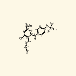 [2H]C([2H])([2H])Oc1ccc(Nc2nc(SC)nc(Cl)c2CN=[N+]=[N-])cc1